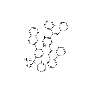 CC1(C)c2ccccc2-c2ccc(-c3ccc4ccccc4c3-c3nc(-c4cc5ccccc5c5ccccc45)nc(-c4cc5ccccc5c5ccccc45)n3)cc21